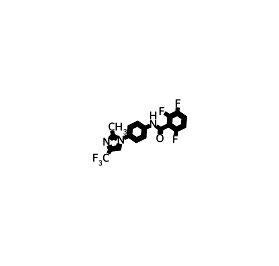 Cc1nc(C(F)(F)F)cn1-c1ccc(NC(=O)c2c(F)ccc(F)c2F)cc1